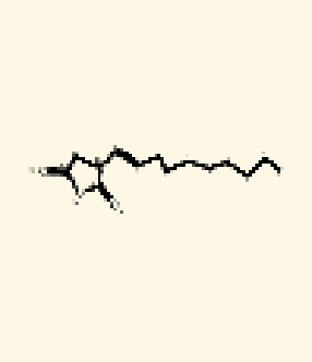 CCCCCCCC/C=C/C1CC(=O)OC1=O